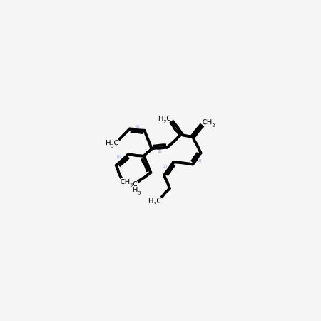 C=C(/C=C\C=C/CC)C(=C)/C=C(\C=C/C)C(=CC)/C=C\C